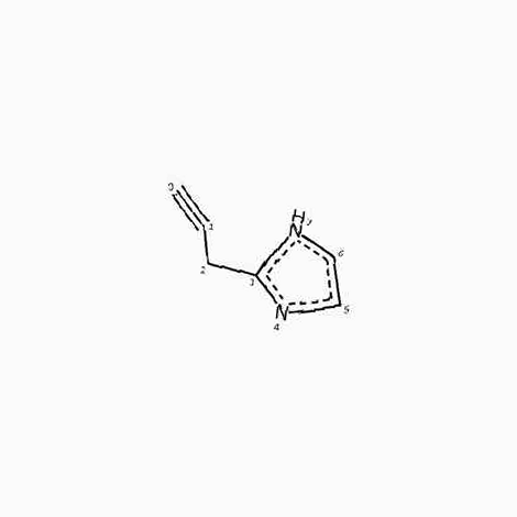 [C]#CCc1ncc[nH]1